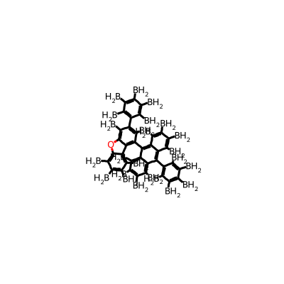 Bc1c(B)c(B)c(-c2c(B)c(-c3c4c(B)c(B)c(B)c(B)c4c(-c4c(B)c(B)c(B)c(B)c4B)c4c(B)c(B)c(B)c(B)c34)c3c(oc4c(B)c(B)c(B)c(B)c43)c2B)c(B)c1B